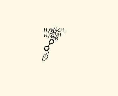 Cc1nn(C)c(C)c1NS(=O)(=O)c1ccc(-c2cccc(CN3CCOCC3)c2)cc1